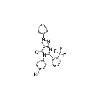 O=c1c2cn(-c3ccccc3)nc2nc(-c2ccccc2C(F)(F)F)n1-c1ccc(Br)cc1